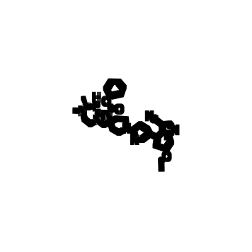 CCOc1cc(-c2ccc(N3CCC(CN4CCN(C)[C@@H](C)PC4)(NC(=O)Oc4ccccc4)CC3)nc2)c2c(C#N)cnn2c1